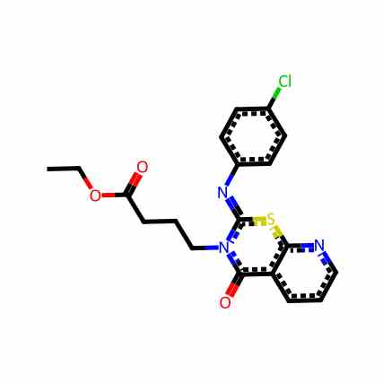 CCOC(=O)CCCn1c(=O)c2cccnc2s/c1=N\c1ccc(Cl)cc1